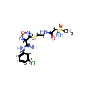 CS(=N)(=O)CC(=O)NCCSc1nonc1C(=N)Nc1cccc(Cl)c1